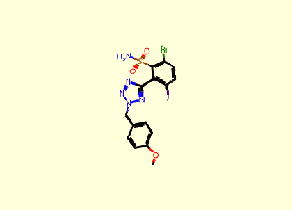 COc1ccc(Cn2nnc(-c3c(I)ccc(Br)c3S(N)(=O)=O)n2)cc1